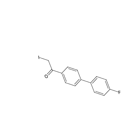 O=C(CI)c1ccc(-c2ccc(F)cc2)cc1